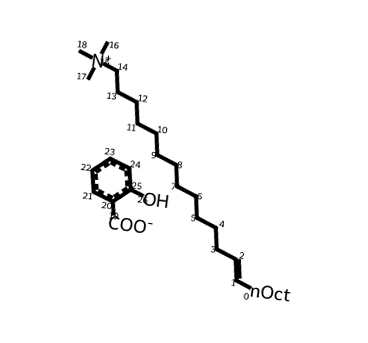 CCCCCCCCC=CCCCCCCCCCCCC[N+](C)(C)C.O=C([O-])c1ccccc1O